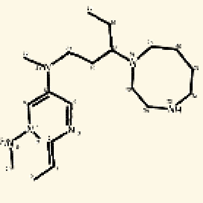 C/C=C/N=C\C(=C/N(C)NC)N(C)CCC(CC)N1CCCCNCC1